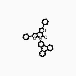 O=c1c2oc(-c3ccccc3)cc2c2cc(-c3ccccc3)oc2n1-c1ccc2c3ccccc3c3ccccc3c2c1